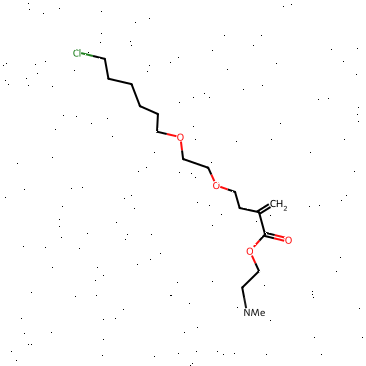 C=C(CCOCCOCCCCCCCl)C(=O)OCCNC